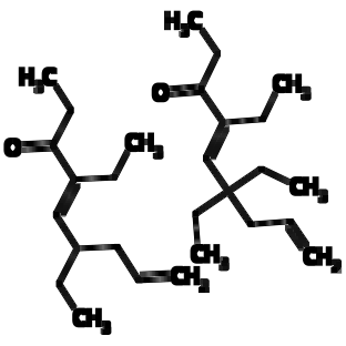 C=CCC(/C=C(\CC)C(=O)CC)(CC)CC.C=CCC(/C=C(\CC)C(=O)CC)CC